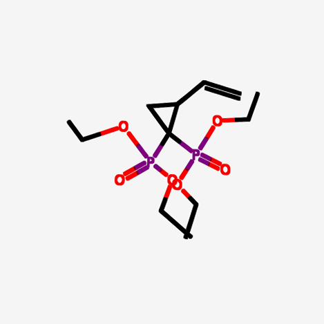 C=CC1CC1(P(=O)(OCC)OCC)P(=O)(OCC)OCC